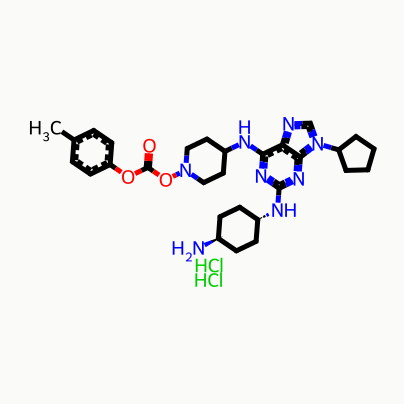 Cc1ccc(OC(=O)ON2CCC(Nc3nc(N[C@H]4CC[C@H](N)CC4)nc4c3ncn4C3CCCC3)CC2)cc1.Cl.Cl